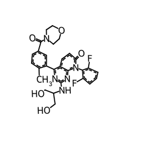 Cc1ccc(C(=O)N2CCOCC2)cc1-c1nc(NC(CO)CO)nc2c1ccc(=O)n2-c1c(F)cccc1F